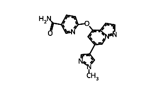 Cn1cc(-c2cc(Oc3ccc(C(N)=O)cn3)c3ccnn3c2)cn1